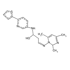 CC1=CC(C)=NC(C)N1/N=C\CC(O)Nc1ccc(-c2cccs2)nc1